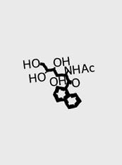 CC(=O)N[C@@H](C(=O)c1cccc2ccccc12)[C@@H](O)[C@H](O)[C@H](O)CO